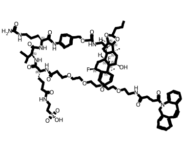 CCCC1O[C@@H]2CC3[C@@H]4C[C@H](F)C5=CC(=O)C=C[C@]5(C)[C@@]4(F)[C@@H](O)C[C@]3(C)[C@]2(C(=O)CNC(=O)OCc2ccc(NC(=O)[C@H](CCCNC(N)=O)NC(=O)[C@@H](NC(=O)[C@@H](CCCC(=O)NCCS(=O)(=O)O)NC(=O)CCOCCOCCOCCOCCNC(=O)CCC(=O)N3Cc4ccccc4C#Cc4ccccc43)C(C)C)cc2)O1